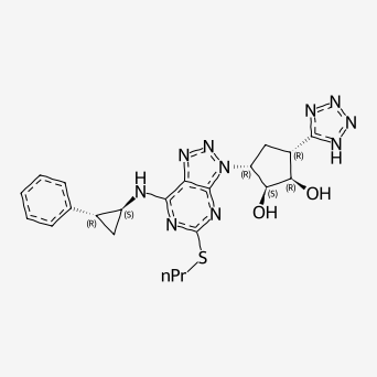 CCCSc1nc(N[C@H]2C[C@@H]2c2ccccc2)c2nnn([C@@H]3C[C@H](c4nnn[nH]4)[C@@H](O)[C@H]3O)c2n1